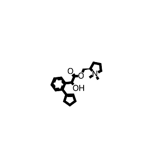 C[N+]1(C)CCC[C@@H]1COC(=O)C(O)c1ccccc1C1=CCCC1